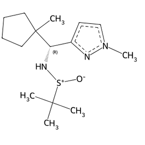 Cn1ccc([C@H](N[S+]([O-])C(C)(C)C)C2(C)CCCC2)n1